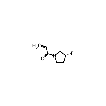 C=CC(=O)N1CC[C@@H](F)C1